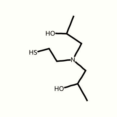 CC(O)CN(CCS)CC(C)O